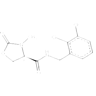 CN1C(=O)OC[C@@H]1C(=O)NCc1cccc(C(F)(F)F)c1Cl